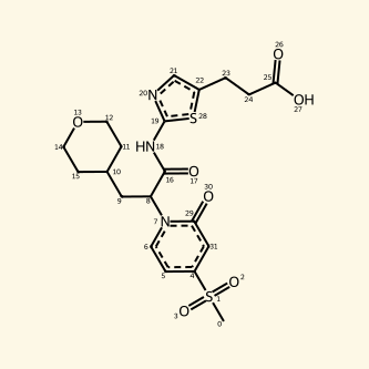 CS(=O)(=O)c1ccn(C(CC2CCOCC2)C(=O)Nc2ncc(CCC(=O)O)s2)c(=O)c1